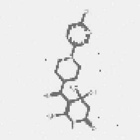 N=C(C1=C(N)NC(=O)CC1(O)C(F)(F)F)C1CCN(c2cnc(C(F)(F)F)cn2)CC1